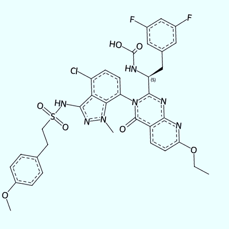 CCOc1ccc2c(=O)n(-c3ccc(Cl)c4c(NS(=O)(=O)CCc5ccc(OC)cc5)nn(C)c34)c([C@H](Cc3cc(F)cc(F)c3)NC(=O)O)nc2n1